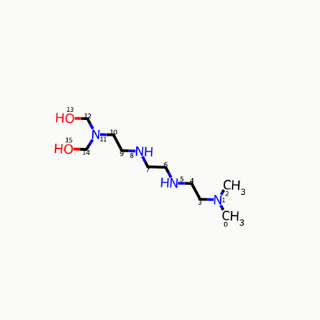 CN(C)CCNCCNCCN(CO)CO